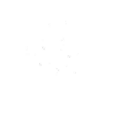 CCCn1c(=O)c2c(nc(C(C)(C)C)n2Cc2ccccc2)n(CCCI)c1=O